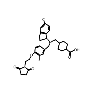 Cc1cc(CN(CC2CCC(C(=O)O)CC2)[C@H]2CCc3cc(Cl)ccc32)ccc1OCCN1C(=O)CCC1=O